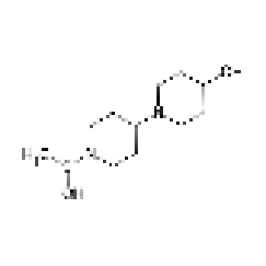 CB(O)N1CCC(N2CCC(O)CC2)CC1